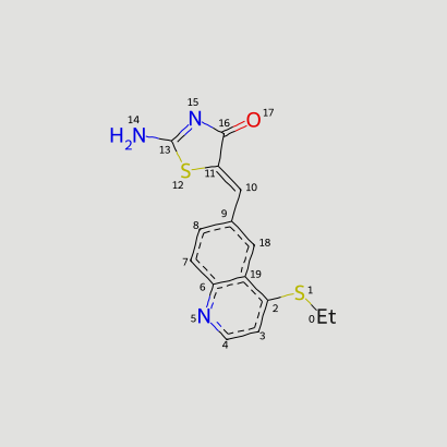 CCSc1ccnc2ccc(/C=C3\SC(N)=NC3=O)cc12